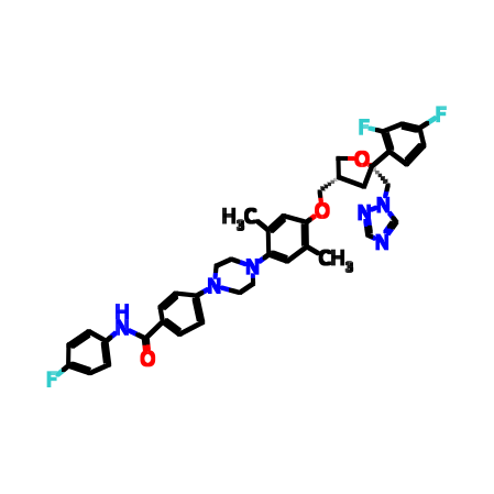 Cc1cc(N2CCN(c3ccc(C(=O)Nc4ccc(F)cc4)cc3)CC2)c(C)cc1OC[C@@H]1CO[C@@](Cn2cncn2)(c2ccc(F)cc2F)C1